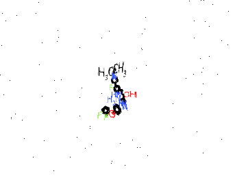 CC(C)N1CCC(c2cc3cc(C(O)c4cnn(-c5ccc(Oc6cccc(F)c6F)cc5)c4N)[nH]c3cc2F)CC1